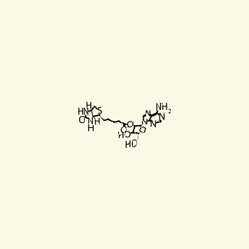 Nc1ncnc2c1ncn2[C@@H]1O[C@H](CO)C(O)C1OC(=O)CCCC[C@@H]1SC[C@@H]2NC(=O)N[C@@H]21